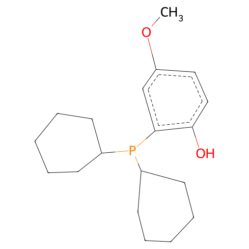 COc1ccc(O)c(P(C2CCCCC2)C2CCCCC2)c1